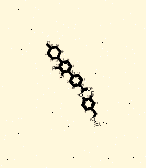 CCOCc1ccc(OC(=O)c2ccc(-c3ccc(C4CCC(C)CC4)c(F)c3F)cc2)c(F)c1